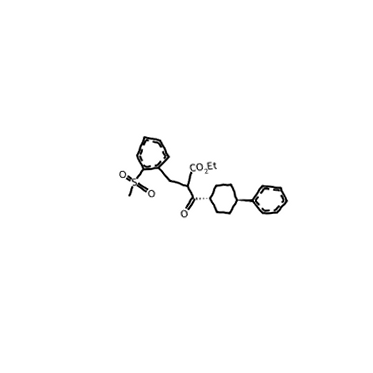 CCOC(=O)C(Cc1ccccc1S(C)(=O)=O)C(=O)[C@H]1CC[C@H](c2ccccc2)CC1